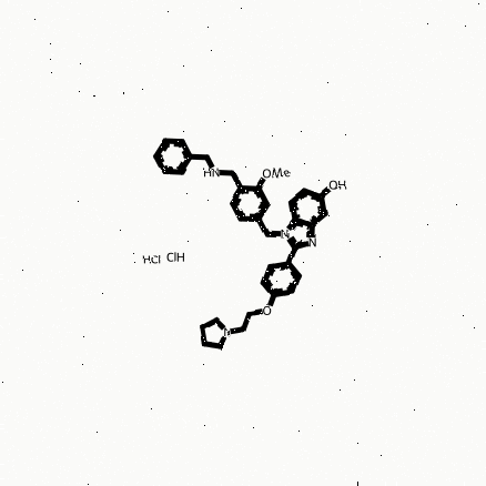 COc1cc(Cn2c(-c3ccc(OCCN4CCCC4)cc3)nc3cc(O)ccc32)ccc1CNCc1ccccc1.Cl.Cl